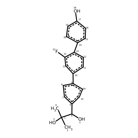 CC(C)(O)C(O)c1ccc(-c2ccc(-c3ccc(O)cc3)c(F)c2)cc1